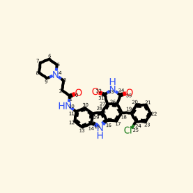 O=C(CCN1CCCCC1)Nc1ccc2[nH]c3cc(-c4ccccc4Cl)c4c(c3c2c1)C(=O)NC4=O